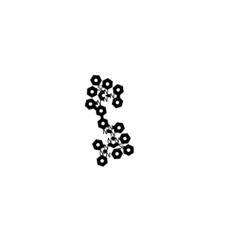 c1ccc([Si](c2ccccc2)(c2ccccc2)c2cc(-n3c4ccccc4c4cc(-c5ccc6nc7n(-c8nc(-n9c%10ccccc%10n%10c%11ccccc%11nc9%10)cc([Si](c9ccccc9)(c9ccccc9)c9ccccc9)n8)c8ccccc8n7c6c5)ccc43)nc(-n3c4ccccc4c4ccccc43)n2)cc1